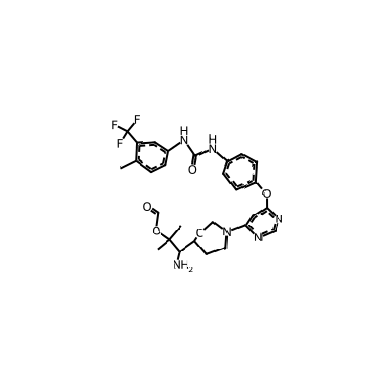 Cc1ccc(NC(=O)Nc2ccc(Oc3cc(N4CCC(C(N)C(C)(C)OC=O)CC4)ncn3)cc2)cc1C(F)(F)F